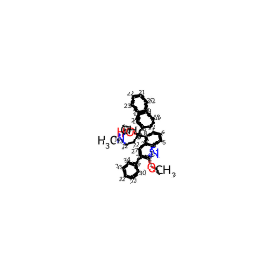 COc1nc2cccc(C(O)(CCN(C)C)c3ccc4ccccc4c3)c2cc1-c1ccccc1